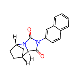 O=C1[C@H]2[C@@H]3CC[C@@H](C3)N2C(=O)N1c1ccc2ccccc2c1